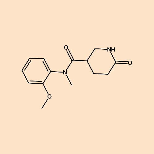 COc1ccccc1N(C)C(=O)C1CCC(=O)NC1